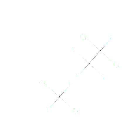 FC(F)(Cl)Cl.FC(F)(F)C(F)(Cl)Cl